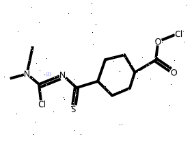 CN(C)/C(Cl)=N/C(=S)C1CCC(C(=O)OCl)CC1